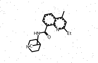 CCc1cc(C)c2cccc(C(=O)NC3CN4CCC3CC4)c2n1